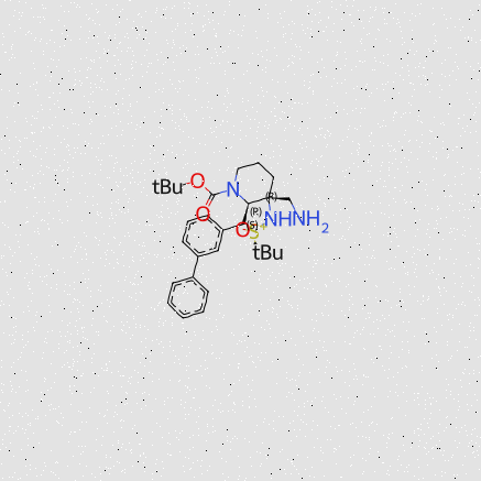 CC(C)(C)OC(=O)N1CCC[C@](CN)(N[S@+]([O-])C(C)(C)C)[C@H]1Cc1cccc(-c2ccccc2)c1